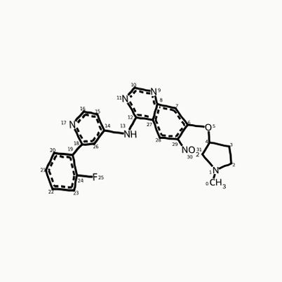 CN1CCC(Oc2cc3ncnc(Nc4ccnc(-c5ccccc5F)c4)c3cc2[N+](=O)[O-])C1